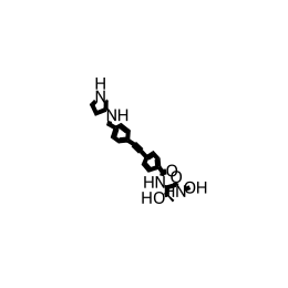 C[C@@H](O)[C@H](NC(=O)c1ccc(C#Cc2ccc(CNC3CCNC3)cc2)cc1)C(=O)NO